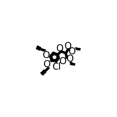 C#CCOc1cc(C(=O)C(C(=O)OCC)C(=O)OCC)cc(Cl)c1OCC#C